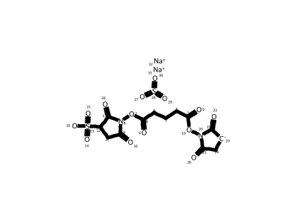 O=C(CCCC(=O)ON1C(=O)CC(S(=O)(=O)[O-])C1=O)ON1C(=O)[CH-]CC1=O.O=S(=O)=O.[Na+].[Na+]